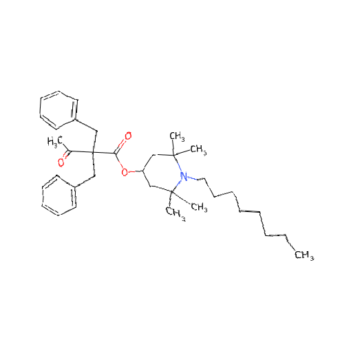 CCCCCCCCN1C(C)(C)CC(OC(=O)C(Cc2ccccc2)(Cc2ccccc2)C(C)=O)CC1(C)C